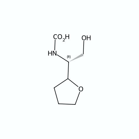 O=C(O)N[C@H](CO)C1CCCO1